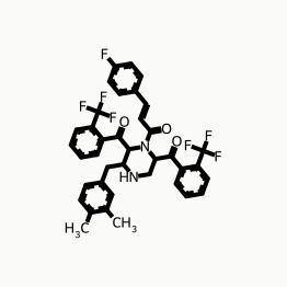 Cc1ccc(CC2NCC(C(=O)c3ccccc3C(F)(F)F)N(C(=O)/C=C/c3ccc(F)cc3)C2C(=O)c2ccccc2C(F)(F)F)cc1C